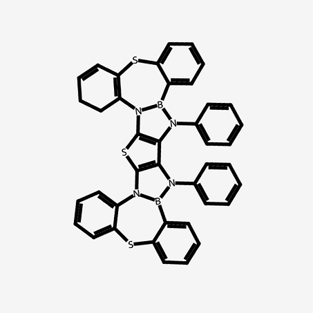 C1=CC2=C(CC1)N1B(c3ccccc3S2)N(c2ccccc2)c2c1sc1c2N(c2ccccc2)B2c3ccccc3Sc3ccccc3N21